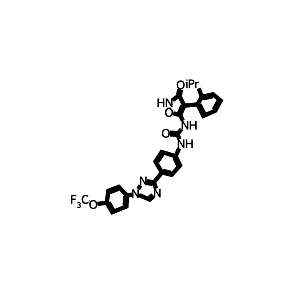 CC(C)c1ccccc1-c1c(NC(=O)Nc2ccc(-c3ncn(-c4ccc(OC(F)(F)F)cc4)n3)cc2)o[nH]c1=O